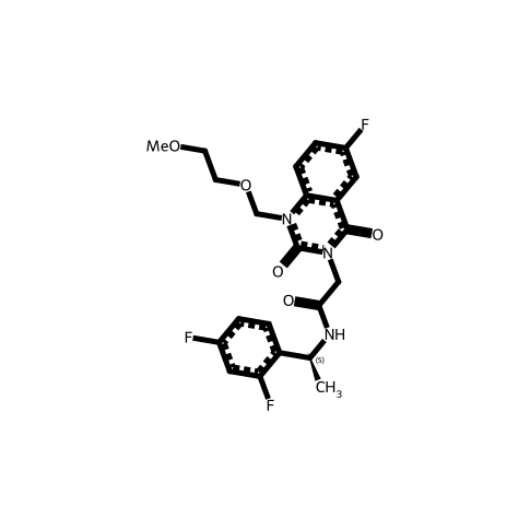 COCCOCn1c(=O)n(CC(=O)N[C@@H](C)c2ccc(F)cc2F)c(=O)c2cc(F)ccc21